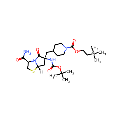 CC(C)(C)OC(=O)N[C@]1(CC2CCN(C(=O)OCC[Si](C)(C)C)CC2)C[C@@H]2SC[C@@H](C(N)=O)N2C1=O